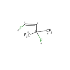 F/C=C\C(F)(C(F)(F)F)C(F)(F)F